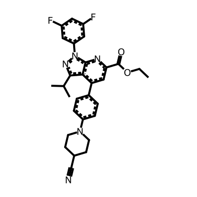 CCOC(=O)c1cc(-c2ccc(N3CCC(C#N)CC3)cc2)c2c(C(C)C)nn(-c3cc(F)cc(F)c3)c2n1